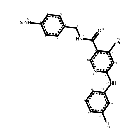 CC(=O)Nc1ccc(CNC(=O)c2cnc(Nc3cccc(Cl)c3)cc2C(C)C)cc1